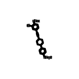 CCCCCCCc1ccc(C2CCC(C#Cc3ccc(CCCCCC)c(Cl)c3)CC2)cc1